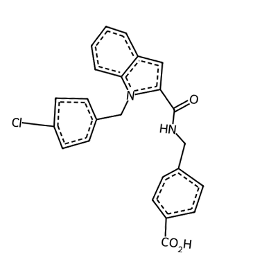 O=C(O)c1ccc(CNC(=O)c2cc3ccccc3n2Cc2ccc(Cl)cc2)cc1